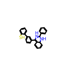 Sc1ccccc1-c1cccc(C2=C3C=CC=CC3NC(c3ccccc3)N2)c1